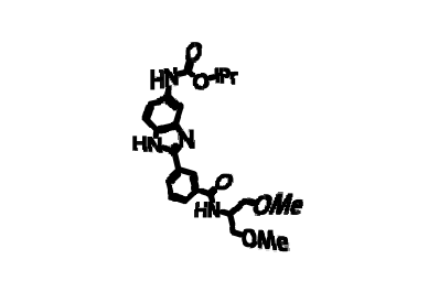 COCC(COC)NC(=O)c1cccc(-c2nc3cc(NC(=O)OC(C)C)ccc3[nH]2)c1